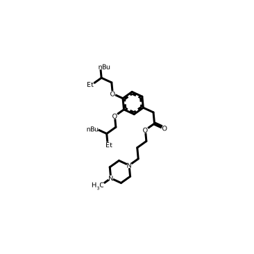 CCCCC(CC)COc1ccc(CC(=O)OCCCN2CCN(C)CC2)cc1OCC(CC)CCCC